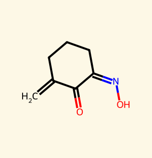 C=C1CCC/C(=N/O)C1=O